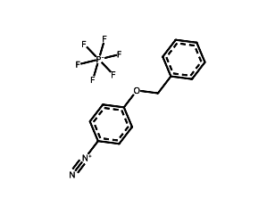 F[P-](F)(F)(F)(F)F.N#[N+]c1ccc(OCc2ccccc2)cc1